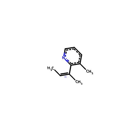 C/C=C(/C)c1ncccc1C